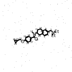 CCN(CC)Cc1ccc2c(c1)CC[C@H](N(C)C(=O)c1ccc(OCC3CC3)cc1)C2